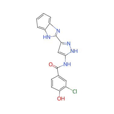 O=C(Nc1cc(-c2nc3ccccc3[nH]2)n[nH]1)c1ccc(O)c(Cl)c1